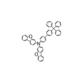 c1ccc(C(c2ccccc2)(c2ccccc2)c2ccc(-c3ccc(N(c4ccc5c(c4)oc4ccccc45)c4ccc5c(c4)oc4ccccc45)cc3)cc2)cc1